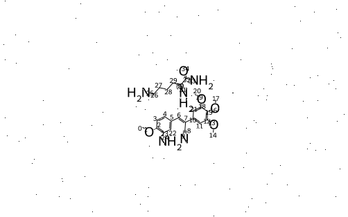 COc1ccc(C=C(C#N)c2cc(OC)c(OC)c(OC)c2)cc1N.NCCCC[C@H](N)C(N)=O